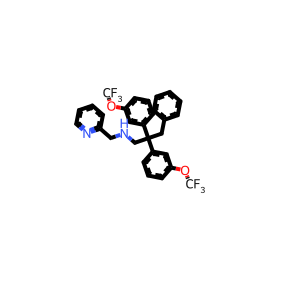 FC(F)(F)Oc1cccc(C(CNCc2ccccn2)(Cc2ccccc2)c2cccc(OC(F)(F)F)c2)c1